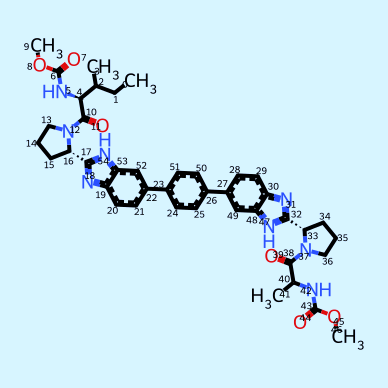 CCC(C)[C@H](NC(=O)OC)C(=O)N1CCC[C@H]1c1nc2ccc(-c3ccc(-c4ccc5nc([C@@H]6CCCN6C(=O)C(C)NC(=O)OC)[nH]c5c4)cc3)cc2[nH]1